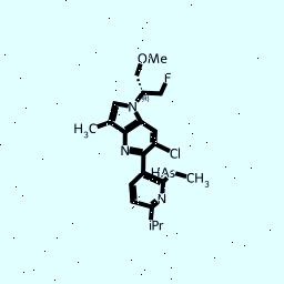 COC[C@H](CF)n1cc(C)c2nc(-c3ccc(C(C)C)nc3[AsH]C)c(Cl)cc21